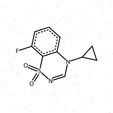 O=S1(=O)N=CN(C2CC2)c2cccc(F)c21